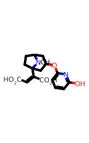 CN1C2CCC1(/C(=C\C(=O)O)C(=O)O)CC(Oc1cccc(O)n1)C2